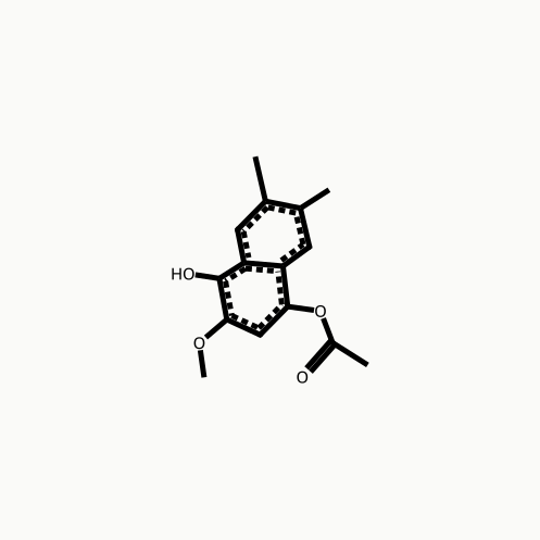 COc1cc(OC(C)=O)c2cc(C)c(C)cc2c1O